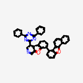 c1ccc(-c2nc(-c3ccccc3)nc(-c3cncc4oc5c(-c6cccc7oc8c9ccccc9ccc8c67)cccc5c34)n2)cc1